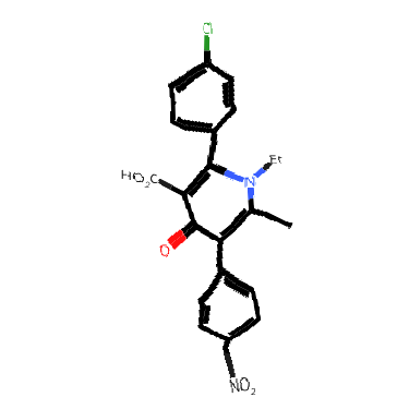 CCn1c(C)c(-c2ccc([N+](=O)[O-])cc2)c(=O)c(C(=O)O)c1-c1ccc(Cl)cc1